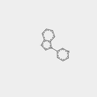 [c]1cn(-c2cccnc2)c2ccccc12